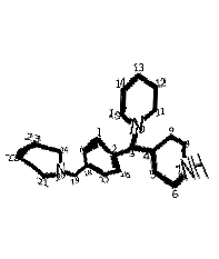 c1cc(C(C2CCNCC2)N2CCCCC2)ccc1CN1CCCC1